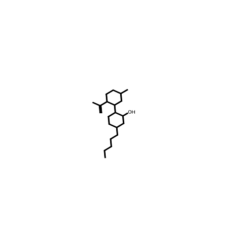 C=C(C)C1CCC(C)CC1C1CCC(CCCCC)CC1O